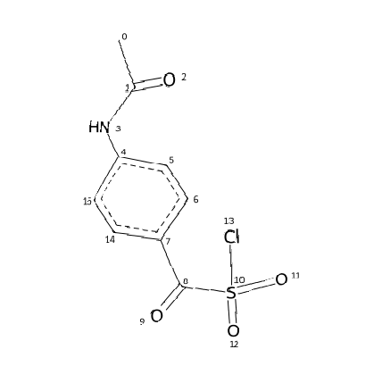 CC(=O)Nc1ccc(C(=O)S(=O)(=O)Cl)cc1